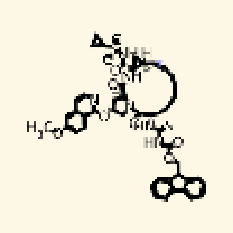 COc1ccc2c(O[C@@H]3C[C@H]4C(=O)N[C@]5(C(=O)NS(=O)(=O)C6CC6)C[C@H]5/C=C\CCCCC[C@H](NC(=S)NC(=O)OCC5c6ccccc6-c6ccccc65)C(=O)N4C3)nccc2c1